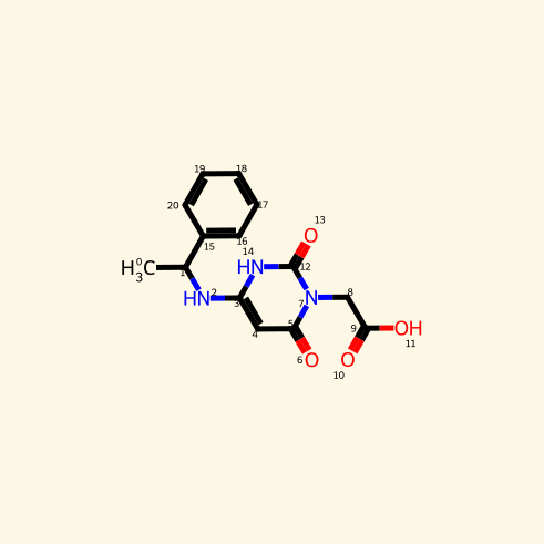 CC(Nc1cc(=O)n(CC(=O)O)c(=O)[nH]1)c1ccccc1